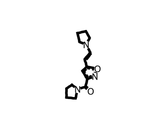 O=C(c1cc(/C=C/N2CCCC2)on1)N1CCCC1